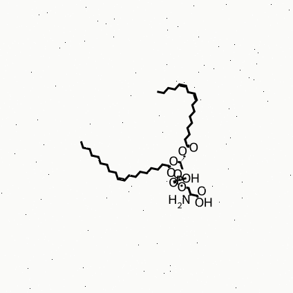 CCCC/C=C\C/C=C\CCCCCCCC(=O)OC[C@H](COP(=O)(O)OC[C@H](N)C(=O)O)OC(=O)CCCCCCC/C=C\CCCCCCCCC